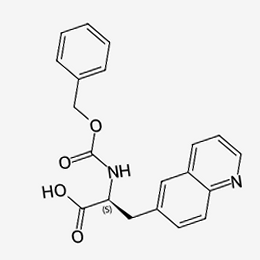 O=C(N[C@@H](Cc1ccc2ncccc2c1)C(=O)O)OCc1ccccc1